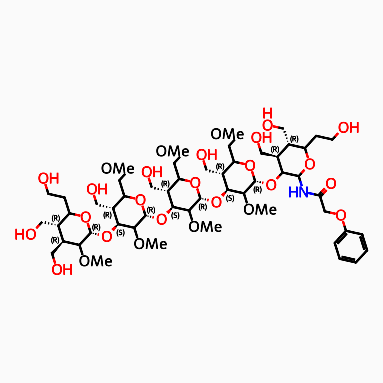 COCC1O[C@H](O[C@@H]2C(OC)[C@@H](O[C@@H]3C(OC)[C@@H](OC4C(NC(=O)COc5ccccc5)OC(CCO)[C@@H](CO)[C@@H]4CO)OC(COC)[C@H]3CO)OC(COC)[C@H]2CO)C(OC)[C@@H](O[C@H]2OC(CCO)[C@@H](CO)[C@H](CO)C2OC)[C@@H]1CO